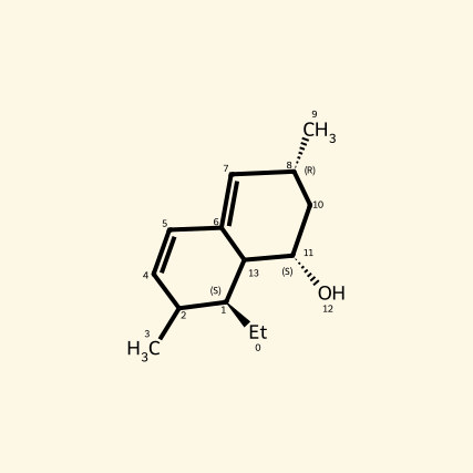 CC[C@H]1C(C)C=CC2=C[C@H](C)C[C@H](O)C21